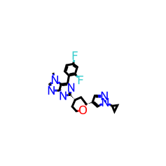 Cn1cnc2nc([C@H]3CCO[C@@H](c4cnn(C5CC5)c4)C3)nc(-c3ccc(F)cc3F)c21